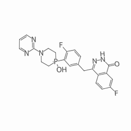 O=c1[nH]nc(Cc2ccc(F)c([P]3(O)CCN(c4ncccn4)CC3)c2)c2ccc(F)cc12